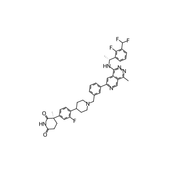 Cc1nnc(N[C@H](C)c2cccc(C(F)F)c2F)c2cc(-c3cccc(CN4CCC(c5ccc([C@@]6(C)CCC(=O)NC6=O)cc5F)CC4)c3)ncc12